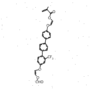 C=C(C)C(=O)O/C=C\Oc1ccc(-c2ccc(-c3ccc(O/C=C\OC=O)cc3C(F)(F)F)cc2)cc1